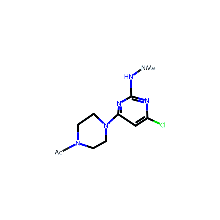 CNNc1nc(Cl)cc(N2CCN(C(C)=O)CC2)n1